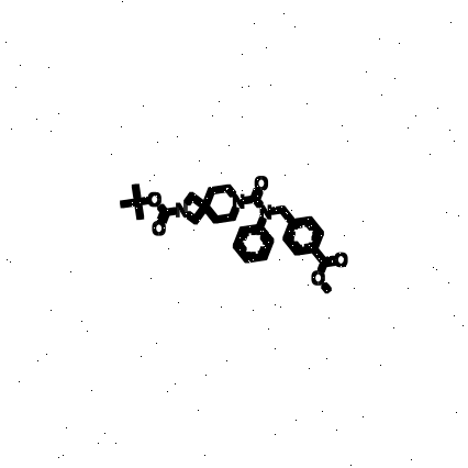 COC(=O)c1ccc(CN(C(=O)N2CCC3(CC2)CN(C(=O)OC(C)(C)C)C3)c2ccccc2)cc1